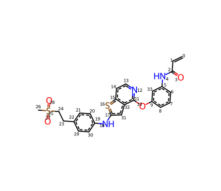 C=CC(=O)Nc1cccc(Oc2nccc3sc(Nc4ccc(CCS(C)(=O)=O)cc4)cc23)c1